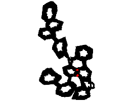 c1ccc(-c2ccccc2-c2ccc(N(c3ccc(-c4cccc5c4ccc4ccccc45)cc3)c3ccccc3-c3ccc4c(c3)oc3ccccc34)cc2)cc1